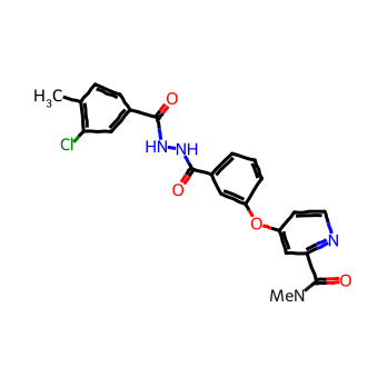 CNC(=O)c1cc(Oc2cccc(C(=O)NNC(=O)c3ccc(C)c(Cl)c3)c2)ccn1